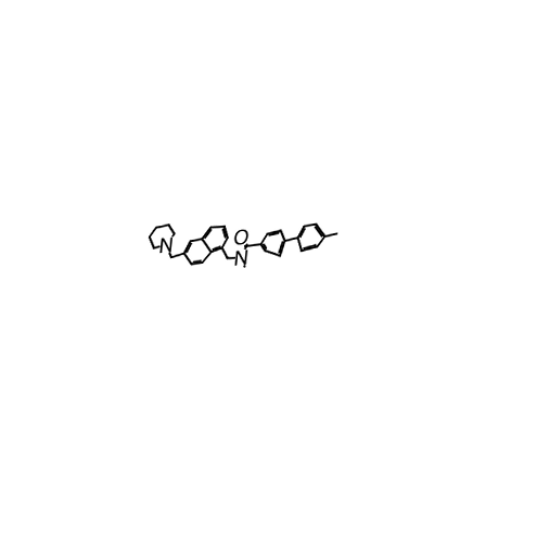 Cc1ccc(-c2ccc(C(=O)N(C)Cc3cccc4cc(CN5CCCCC5)ccc34)cc2)cc1